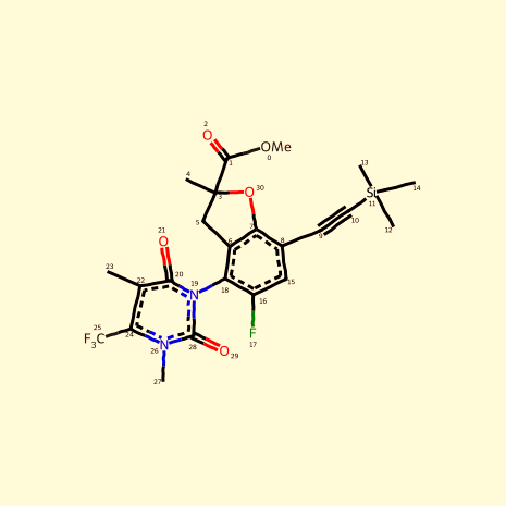 COC(=O)C1(C)Cc2c(c(C#C[Si](C)(C)C)cc(F)c2-n2c(=O)c(C)c(C(F)(F)F)n(C)c2=O)O1